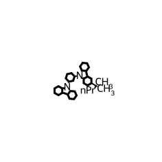 CCCC(C)(C)c1ccc2c(c1)c1ccccc1n2-c1cccc(-n2c3ccccc3c3ccccc32)c1